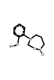 CC(C)Oc1ccccc1N1CCCN(Cl)CC1